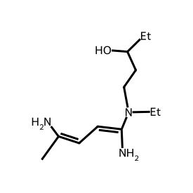 CCC(O)CCN(CC)/C(N)=C/C=C(/C)N